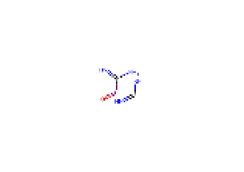 N=C(N)P=O.N=CN